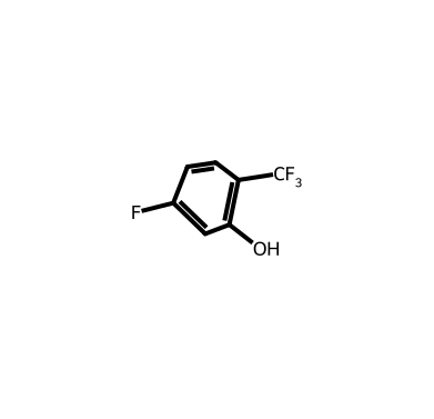 Oc1cc(F)ccc1C(F)(F)F